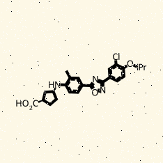 Cc1cc(-c2nc(-c3ccc(OC(C)C)c(Cl)c3)no2)ccc1N[C@H]1CC[C@@H](C(=O)O)C1